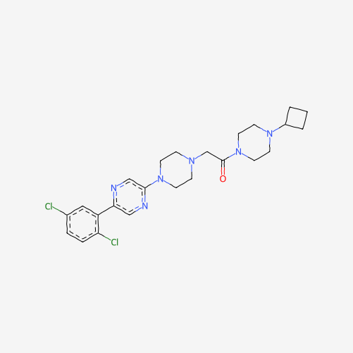 O=C(CN1CCN(c2cnc(-c3cc(Cl)ccc3Cl)cn2)CC1)N1CCN(C2CCC2)CC1